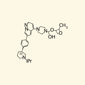 CC1OCC1OC(O)N1CCN(c2ccnn3cc(-c4ccc([C@@H]5CCCN(C(C)C)C5)cc4)cc23)CC1